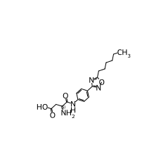 CCCCCCc1nc(-c2ccc(NC(=O)[C@@H](N)CC(=O)O)cc2)no1